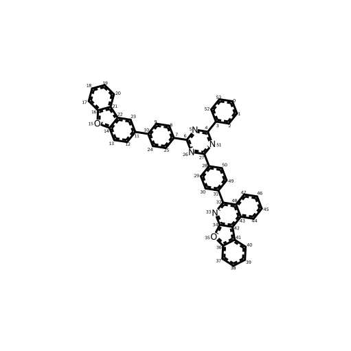 c1ccc(-c2nc(-c3ccc(-c4ccc5oc6ccccc6c5c4)cc3)nc(-c3ccc(-c4nc5oc6ccccc6c5c5ccccc45)cc3)n2)cc1